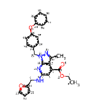 CCOC(=O)c1cc(NCc2ccco2)nc2c1c(C)nn2Cc1ccc(Oc2ccccc2)cc1